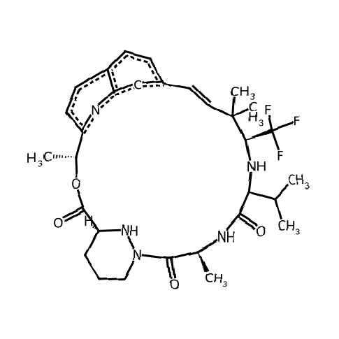 CC(C)C1N[C@H](C(F)(F)F)C(C)(C)/C=C/c2ccc3ccc(nc3c2)[C@@H](C)OC(=O)[C@@H]2CCCN(N2)C(=O)[C@H](C)NC1=O